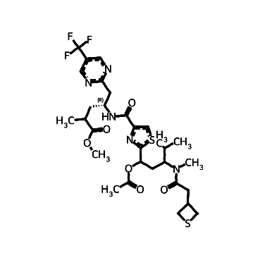 COC(=O)C(C)C[C@H](Cc1ncc(C(F)(F)F)cn1)NC(=O)c1csc(C(CC(C(C)C)N(C)C(=O)CC2CSC2)OC(C)=O)n1